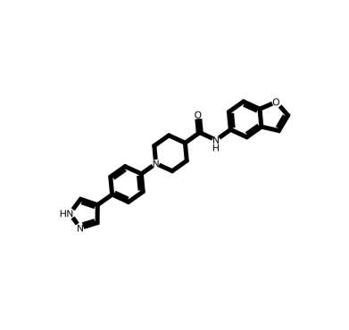 O=C(Nc1ccc2occc2c1)C1CCN(c2ccc(-c3cn[nH]c3)cc2)CC1